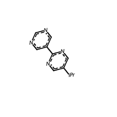 CC(C)c1cnc(-c2cncnc2)nc1